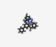 Cc1ccc2c(c1)nc1n2-c2c(C(C)C)cc(-c3ccccc3)cc2C(C)c2cccc-1c2